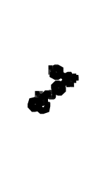 Cn1cc(-c2ccncc2)c(-c2ccc(OCc3nc4cccc5c4n3CCC5)cc2)n1